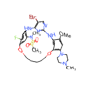 COc1cc(N2CCN(C)CC2)c2cc1Nc1ncc(Br)c(n1)Nc1cc(F)c(cc1N(C)S(C)(=O)=O)OCCCCCO2